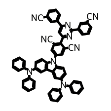 N#Cc1cccc(-c2cc(-c3c(C#N)cc(-n4c5ccc(N(c6ccccc6)c6ccccc6)cc5c5cc(N(c6ccccc6)c6ccccc6)ccc54)cc3C#N)nc(-c3cccc(C#N)c3)n2)c1